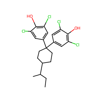 CCC(C)C1CCC(c2cc(Cl)c(O)c(Cl)c2)(c2cc(Cl)c(O)c(Cl)c2)CC1